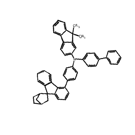 CC1(C)c2ccccc2-c2ccc(N(c3ccc(-c4ccccc4)cc3)c3ccc(-c4cccc5c4-c4ccccc4C54CC5CCC4C5)cc3)cc21